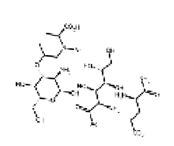 CC(=O)C(=O)[C@H](N)[C@@H](O)[C@H](O)[C@H](O)CO.CC(=O)N(CC(C)O[C@@H]1[C@@H](N)[C@@H](O)O[C@H](CO)[C@H]1O)[C@@H](C)C(=O)O.NC(=O)[C@H](N)CCC(=O)O